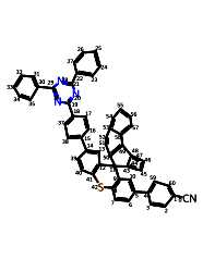 N#Cc1ccc(-c2ccc3c(c2)C2(c4cc(-c5ccc(-c6nc(-c7ccccc7)nc(-c7ccccc7)n6)cc5)ccc4S3)c3ccccc3-c3c2ccc2ccccc32)cc1